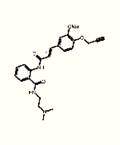 C#CCOc1ccc(/C=C/C(=O)Nc2ccccc2C(=O)NCCN(C)C)cc1OC